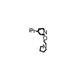 CC(C)c1ccnc(OCCN2CCCC2)c1